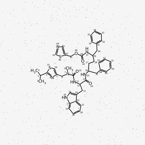 CC(C)c1nc(CN(C)C(=O)NC(Cc2c[nH]c3ccccc23)C(=O)NC(CCC(Cc2ccccc2)NC(=O)OCc2cncs2)Cc2ccccc2)cs1